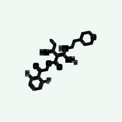 CCC(=N)/C(C(=O)OCC(=O)c1c(F)cccc1F)=C(/N)NCCC1CCOCC1